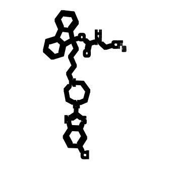 O=C(NCC(F)(F)F)OC1(CCCCN2CCCN(c3nc4ccc(Cl)cc4s3)CC2)c2ccccc2-c2ccccc21